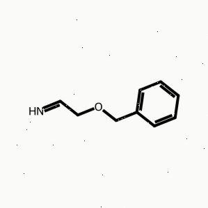 N=CCOCc1ccccc1